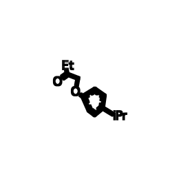 CCC(=O)COc1ccc(C(C)C)cc1